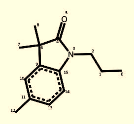 CCCN1C(=O)C(C)(C)c2cc(C)ccc21